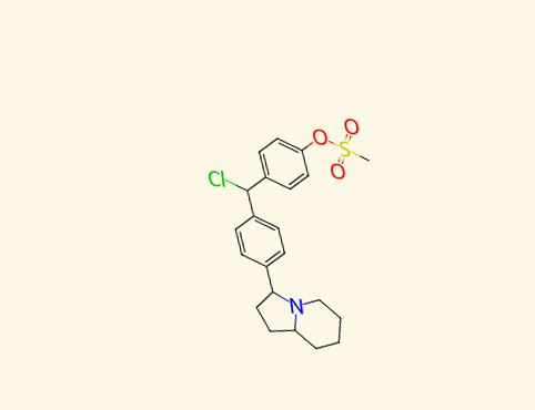 CS(=O)(=O)Oc1ccc(C(Cl)c2ccc(C3CCC4CCCCN43)cc2)cc1